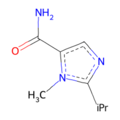 CC(C)c1ncc(C(N)=O)n1C